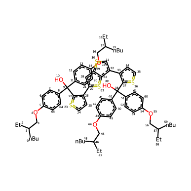 CCCCC(CC)COc1ccc(C(O)(c2ccc(OCC(CC)CCCC)cc2)c2sccc2-c2cc3scc(-c4ccsc4C(O)(c4ccc(OCC(CC)CCCC)cc4)c4ccc(OCC(CC)CCCC)cc4)c3s2)cc1